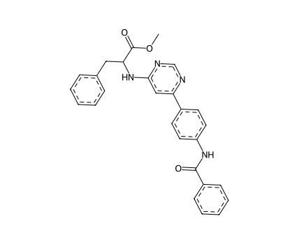 COC(=O)C(Cc1ccccc1)Nc1cc(-c2ccc(NC(=O)c3ccccc3)cc2)ncn1